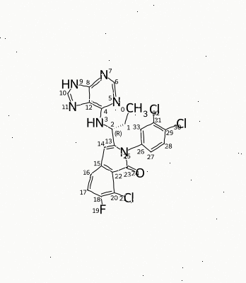 CC[C@@H](Nc1ncnc2[nH]cnc12)c1cc2ccc(F)c(Cl)c2c(=O)n1-c1ccc(Cl)c(Cl)c1